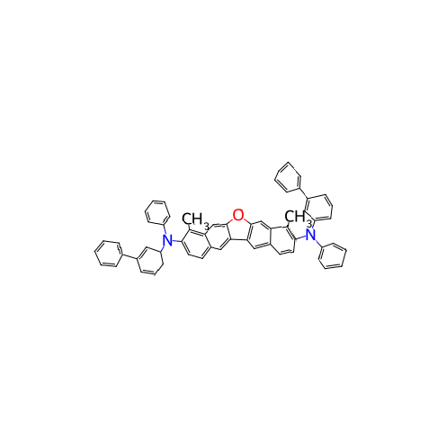 Cc1c(N(c2ccccc2)c2cccc(-c3ccccc3)c2)ccc2cc3c(cc12)oc1cc2c(C)c(N(c4ccccc4)C4C=C(c5ccccc5)C=CC4)ccc2cc13